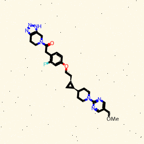 COCc1cnc(N2CCC([C@H]3C[C@H]3CCOc3ccc(CC(=O)N4CCc5nn[nH]c5C4)c(F)c3)CC2)nc1